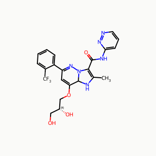 CC1=C(C(=O)Nc2cccnn2)N2N=C(c3ccccc3C(F)(F)F)C=C(OC[C@H](O)CO)C2N1